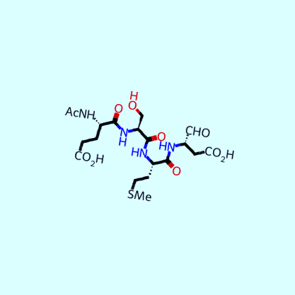 CSCC[C@H](NC(=O)[C@H](CO)NC(=O)[C@H](CCC(=O)O)NC(C)=O)C(=O)N[C@H](C=O)CC(=O)O